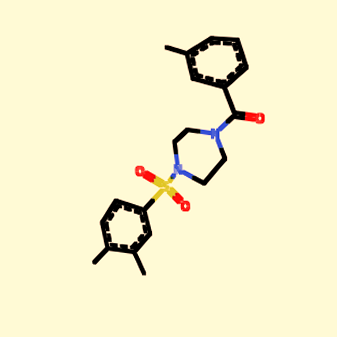 Cc1cccc(C(=O)N2CCN(S(=O)(=O)c3ccc(C)c(C)c3)CC2)c1